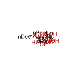 CCCCCCCCCCCCC(CCCCC)OC[C@H]1O[C@H](O[C@]2(CO)O[C@H](CO)[C@@H](O)[C@@H]2O)[C@H](O)[C@@H](O)[C@@H]1O